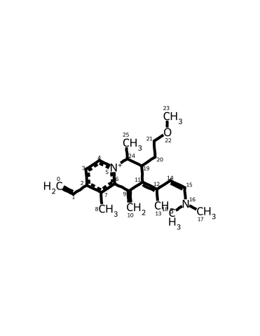 C=Cc1cc[n+]2c(c1C)C(=C)/C(=C(C)/C=C\N(C)C)C(CCOC)C2C